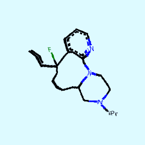 C=CC1(F)CCC2CN(C(C)C)CCN2c2ncccc21